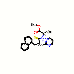 CCCC[C@H](NC(=S)[C@H](Cc1ncccn1)Cc1cccc2ccccc12)C(=O)OC(C)(C)C